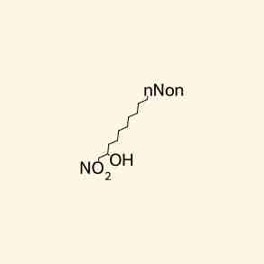 CCCCCCCCCCCCCCCCCC(O)C[N+](=O)[O-]